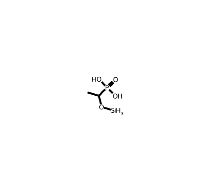 CC(O[SiH3])P(=O)(O)O